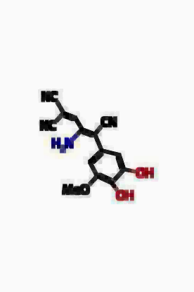 COc1cc(C(C#N)=C(N)C=C(C#N)C#N)cc(O)c1O